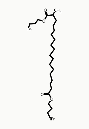 CC(C)CCCOC(=O)CCCCCCCCCCCCCCCC(C)C(=O)OCCCC(C)C